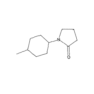 CC1CCC(N2CCCC2=O)CC1